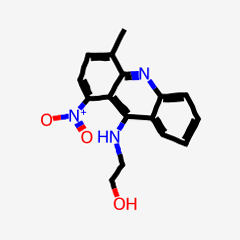 Cc1ccc([N+](=O)[O-])c2c(NCCO)c3ccccc3nc12